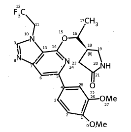 COc1ccc(-c2cc3ncn(CC(F)(F)F)c3c(OC(C)[C@H]3CNC(=O)C3)n2)cc1OC